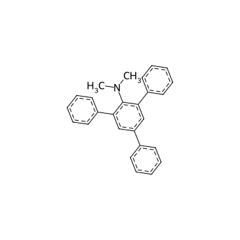 CN(C)c1c(-c2ccccc2)cc(-c2ccccc2)cc1-c1ccccc1